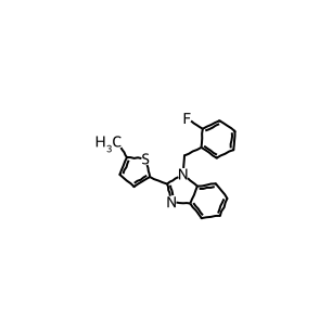 Cc1ccc(-c2nc3ccccc3n2Cc2ccccc2F)s1